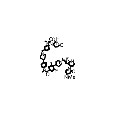 CNc1ccn(-c2ccnc3c2cc([C@H](C)N2CC=C(c4c(C)cc(C(=O)N(C)c5ccc(C6CCN(Cc7ccc8c(c7)n(C)c(=O)n8[C@H]7CCC(=O)NC7=O)CC6)cc5)cc4F)CC2)n3C)c(=O)c1